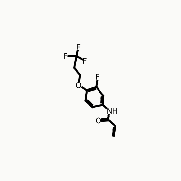 C=CC(=O)Nc1ccc(OCCC(F)(F)F)c(F)c1